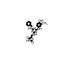 Cc1cc(Nc2nc(NCC3CCCCC3)nc(NCC3SC(=O)NC3=O)n2)ccc1O